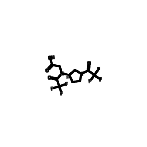 O=C(O)CN(C(=O)C(F)(F)F)[C@@H]1CCN(C(=O)C(F)(F)F)C1